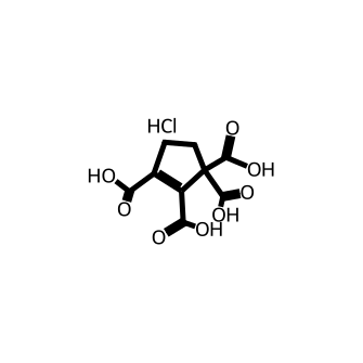 Cl.O=C(O)C1=C(C(=O)O)C(C(=O)O)(C(=O)O)CC1